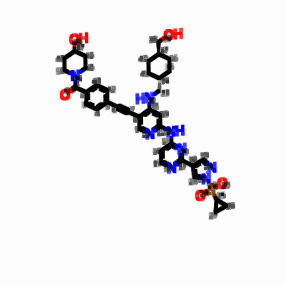 O=C(c1ccc(C#Cc2cnc(Nc3ccnc(-c4cnn(S(=O)(=O)C5CC5)c4)n3)cc2NC[C@H]2CC[C@H](CO)CC2)cc1)N1CCC(O)CC1